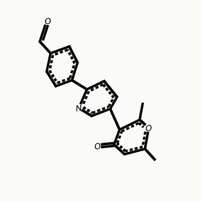 Cc1cc(=O)c(-c2ccc(-c3ccc(C=O)cc3)nc2)c(C)o1